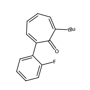 CC(C)(C)c1ccccc(-c2ccccc2F)c1=O